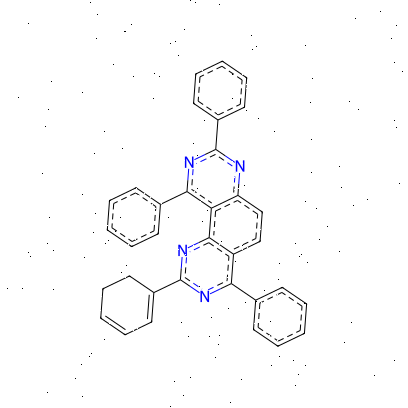 C1=CCCC(c2nc(-c3ccccc3)c3ccc4nc(-c5ccccc5)nc(-c5ccccc5)c4c3n2)=C1